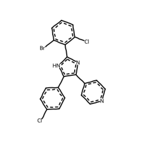 Clc1ccc(-c2[nH]c(-c3c(Cl)cccc3Br)nc2-c2ccncc2)cc1